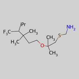 CC(C)C(C(F)(F)F)C(C)(C)CCOC(C)(C)CSCN